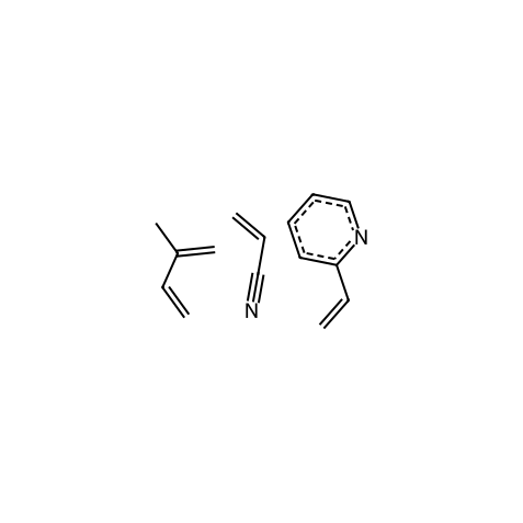 C=CC#N.C=CC(=C)C.C=Cc1ccccn1